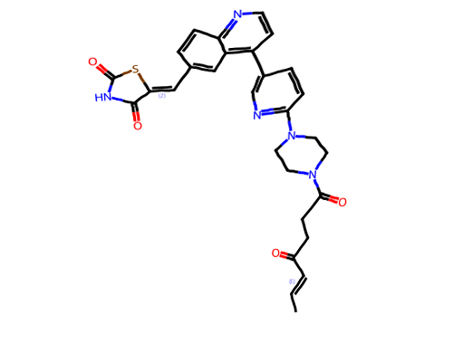 C/C=C/C(=O)CCC(=O)N1CCN(c2ccc(-c3ccnc4ccc(/C=C5\SC(=O)NC5=O)cc34)cn2)CC1